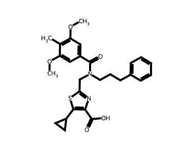 COc1cc(C(=O)N(CCCc2ccccc2)Cc2nc(C(=O)O)c(C3CC3)s2)cc(OC)c1C